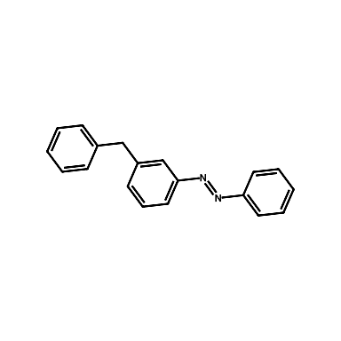 c1ccc(Cc2cccc(N=Nc3ccccc3)c2)cc1